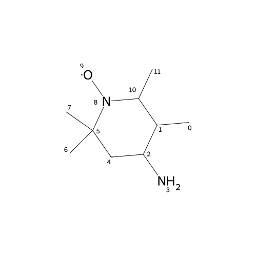 CC1C(N)CC(C)(C)N([O])C1C